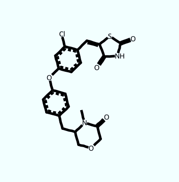 CN1C(=O)COCC1Cc1ccc(Oc2ccc(C=C3SC(=O)NC3=O)c(Cl)c2)cc1